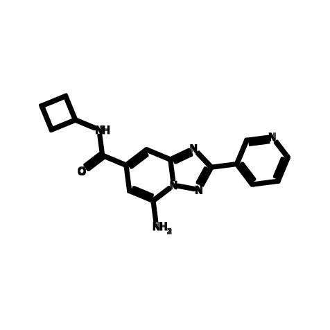 Nc1cc(C(=O)NC2CCC2)cc2nc(-c3cccnc3)nn12